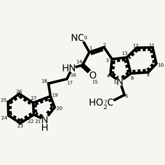 N#CC(=Cc1cn(CC(=O)O)c2ccccc12)C(=O)NCCc1c[nH]c2ccccc12